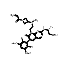 C=CC(=O)N1CC(N(C)CCn2c(=O)c(-c3c(Cl)c(OC)cc(OC)c3Cl)cc3cnc(N[C@H](C)COC)nc32)C1